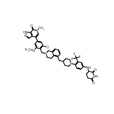 COc1cc(-c2cn(C)c(=O)c3[nH]ncc23)cc(Cl)c1CN1CCc2c(CC3CCN(c4ccc(NC5CCC(=O)NC5=O)cc4C(F)(F)F)CC3)cccc2C1